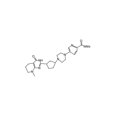 CNC(=O)c1ccc(N2CCN(C3CCC(c4nc5c(c(=O)[nH]4)CCCN5C)C3)CC2)cn1